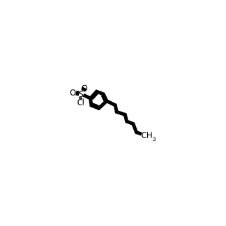 CCCCCCCc1ccc(S(=O)(=O)Cl)cc1